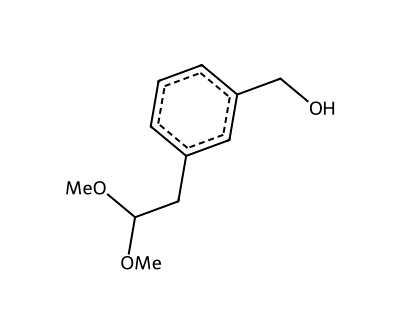 COC(Cc1cccc(CO)c1)OC